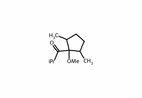 COC1(C(=O)C(C)C)C(C)CCC1C